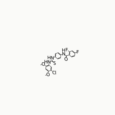 COc1cc(OC)c(NC(=S)Nc2ccc(NC(=O)c3ccc(F)cc3F)cc2)cc1Cl